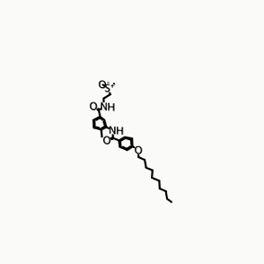 CCCCCCCCCCOc1ccc(C(=O)Nc2cc(C(=O)NCC[S+](C)[O-])ccc2C)cc1